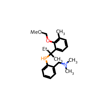 CCC(C)(Pc1ccccc1CN(C)C)c1cccc(C)c1OCOC